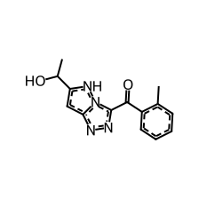 Cc1ccccc1C(=O)c1nnc2cc(C(C)O)[nH]n12